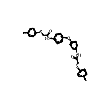 Cc1ccc(SCC(=O)Nc2ccc(Oc3ccc(NC(=O)CSc4ccc(C)cc4)cc3)cc2)cc1